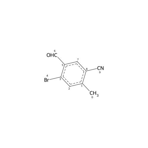 Cc1cc(Br)c(C=O)cc1C#N